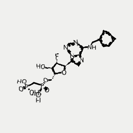 O=P(O)(O)CP(=O)(O)OC[C@H]1O[C@H](c2cnc3c(NCc4ccccc4)ncnn23)[C@@H](F)[C@@H]1O